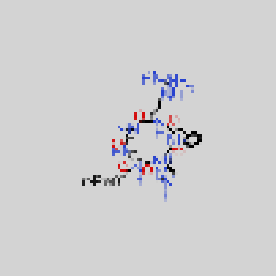 CCCCCC(=O)N[C@H]1CNC(=O)CNC(=O)[C@H](CCCNC(=N)N)NC(=O)[C@@H](Cc2ccccc2)NC(=O)[C@H](Cc2c[nH]cn2)NC1=O